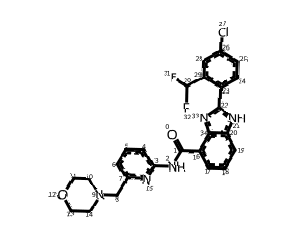 O=C(Nc1cccc(CN2CCOCC2)n1)c1cccc2[nH]c(-c3ccc(Cl)cc3C(F)F)nc12